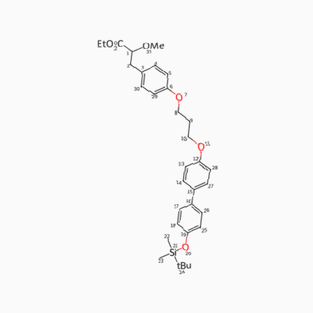 CCOC(=O)C(Cc1ccc(OCCCOc2ccc(-c3ccc(O[Si](C)(C)C(C)(C)C)cc3)cc2)cc1)OC